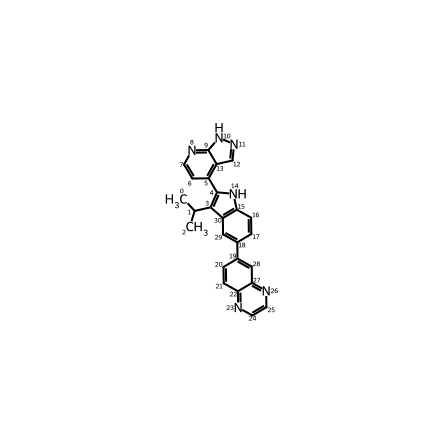 CC(C)c1c(-c2ccnc3[nH]ncc23)[nH]c2ccc(-c3ccc4nccnc4c3)cc12